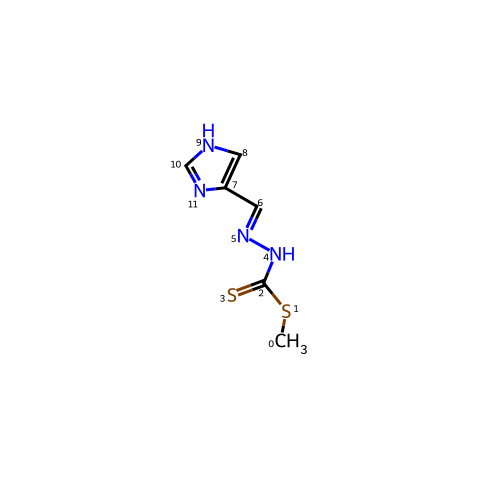 CSC(=S)NN=Cc1c[nH]cn1